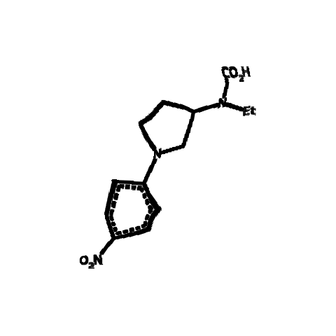 CCN(C(=O)O)C1CCN(c2ccc([N+](=O)[O-])cc2)C1